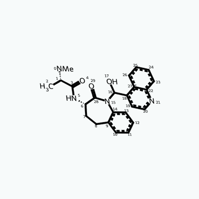 CN[C@@H](C)C(=O)N[C@H]1CCc2ccccc2N(C(O)c2ccnc3ccccc23)C1=O